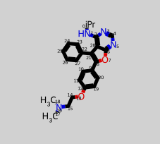 CC(C)Nc1ncnc2oc(-c3ccc(OCCN(C)C)cc3)c(-c3ccccc3)c12